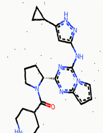 O=C(C1CCNCC1)N1CCC[C@@H]1c1nc(Nc2cc(C3CC3)[nH]n2)n2cccc2n1